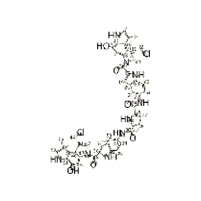 Cc1c[nH]c2c(O)cc3c(c12)[C@H](CCl)CN3C(=O)c1cc2cc(NC(=O)c3ccc(C(=O)Nc4ccc5[nH]c(C(=O)N6C[C@@H](CCl)c7c6cc(O)c6[nH]cc(C)c76)cc5c4)[nH]3)ccc2[nH]1